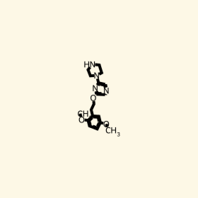 COc1ccc(OC)c(CCOc2cncc(N3CCNCC3)n2)c1